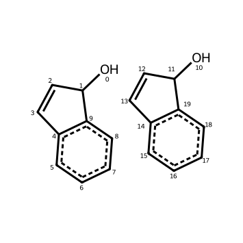 OC1C=Cc2ccccc21.OC1C=Cc2ccccc21